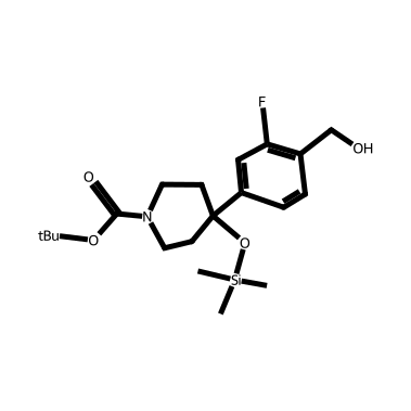 CC(C)(C)OC(=O)N1CCC(O[Si](C)(C)C)(c2ccc(CO)c(F)c2)CC1